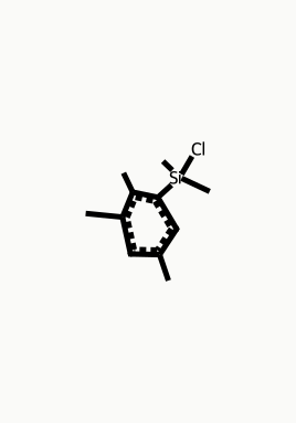 Cc1cc(C)c(C)c([Si](C)(C)Cl)c1